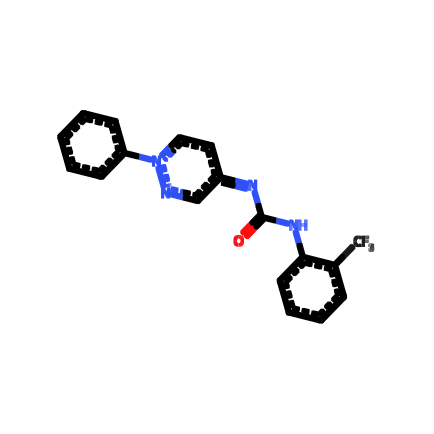 O=C(N=c1ccn(-c2ccccc2)nc1)Nc1ccccc1C(F)(F)F